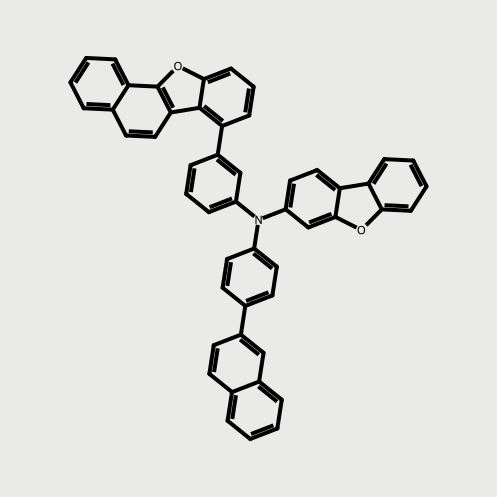 c1cc(-c2cccc3oc4c5ccccc5ccc4c23)cc(N(c2ccc(-c3ccc4ccccc4c3)cc2)c2ccc3c(c2)oc2ccccc23)c1